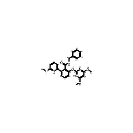 COc1cccc(-c2cccc(Oc3nc(OC)cc(OC)n3)c2C(=O)OCc2ccccc2)n1